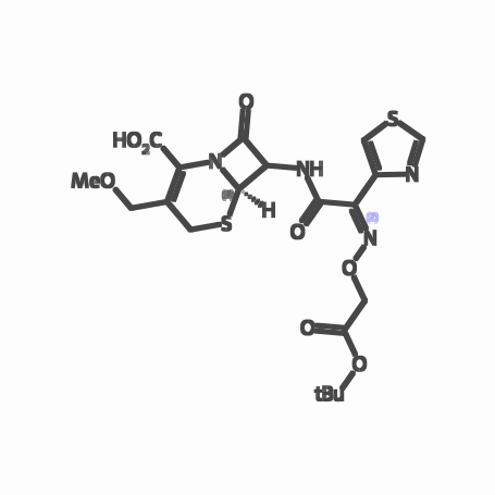 COCC1=C(C(=O)O)N2C(=O)C(NC(=O)/C(=N\OCC(=O)OC(C)(C)C)c3cscn3)[C@H]2SC1